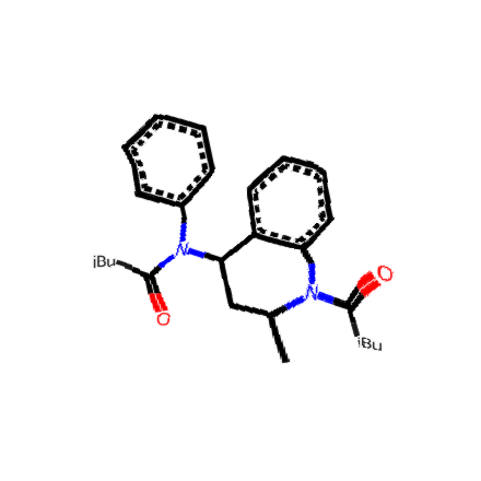 CCC(C)C(=O)N1c2ccccc2C(N(C(=O)C(C)CC)c2ccccc2)CC1C